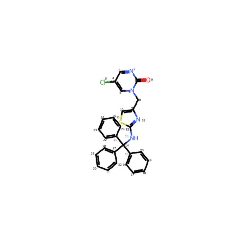 O=c1ncc(Cl)cn1Cc1csc(NC(c2ccccc2)(c2ccccc2)c2ccccc2)n1